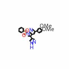 COc1ccc(-c2cnc3c(c2)c(-c2cn[nH]c2)cn3S(=O)(=O)c2ccccc2)cc1OC